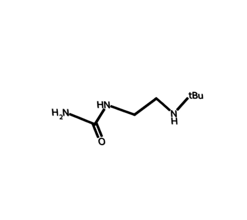 CC(C)(C)NCCNC(N)=O